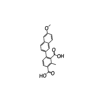 COc1ccc2cc(-c3ccc(C(=O)O)c(C)c3C(=O)O)ccc2c1